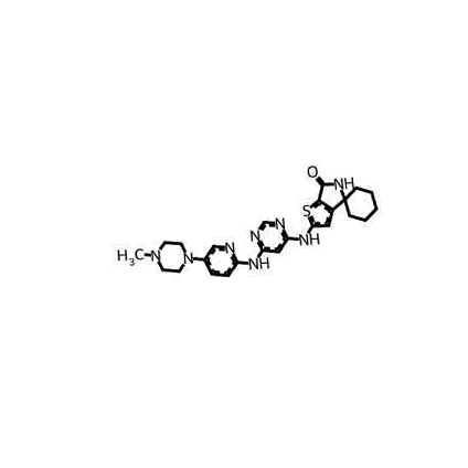 CN1CCN(c2ccc(Nc3cc(Nc4cc5c(s4)C(=O)NC54CCCCC4)ncn3)nc2)CC1